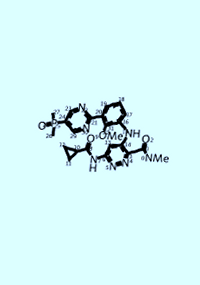 CNC(=O)c1nnc(NC(=O)C2CC2)cc1Nc1cccc(-c2ncc(P(C)(C)=O)cn2)c1OC